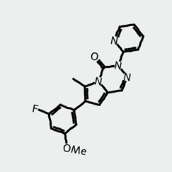 COc1cc(F)cc(-c2cc3cnn(-c4ccccn4)c(=O)n3c2C)c1